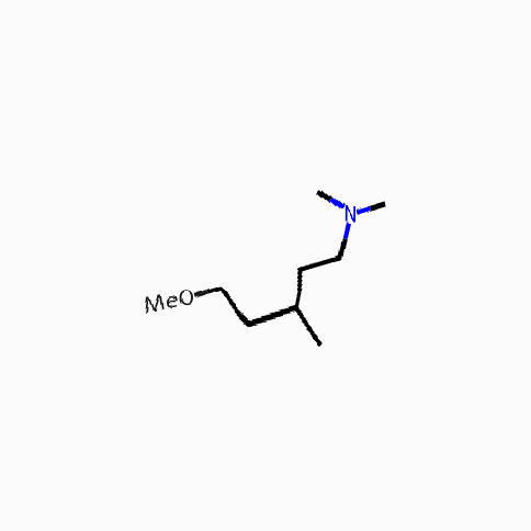 COCCC(C)CCN(C)C